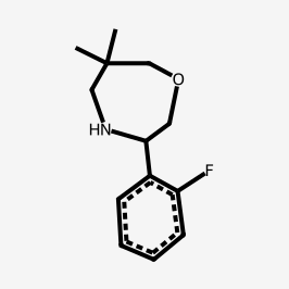 CC1(C)CNC(c2ccccc2F)COC1